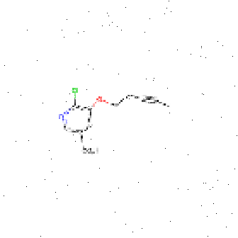 CC#CCCOc1cc(C(=O)O)cnc1Cl